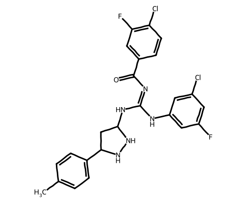 Cc1ccc(C2CC(N/C(=N\C(=O)c3ccc(Cl)c(F)c3)Nc3cc(F)cc(Cl)c3)NN2)cc1